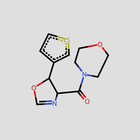 O=C(C1N=COC1c1ccsc1)N1CCOCC1